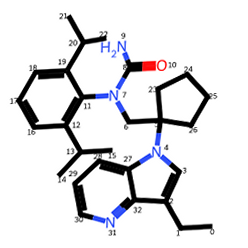 CCc1cn(C2(CN(C(N)=O)c3c(C(C)C)cccc3C(C)C)CCCC2)c2cccnc12